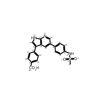 CS(=O)(=O)Nc1ccc(-c2cnc3[nH]cc(-c4ccc(C(=O)O)cc4)c3c2)cc1